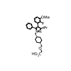 COc1cccc(-c2c(C(C)C)nn(C[C@H]3CC[C@@H](COCC(=O)O)CC3)c2-c2ccccc2)c1F